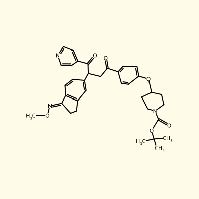 CON=C1CCc2cc(C(CC(=O)c3ccc(OC4CCN(C(=O)OC(C)(C)C)CC4)cc3)C(=O)c3ccncc3)ccc21